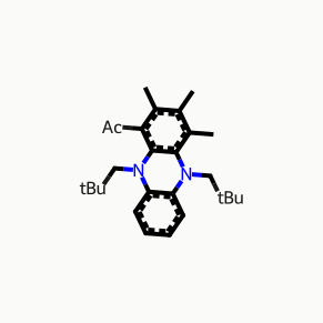 CC(=O)c1c(C)c(C)c(C)c2c1N(CC(C)(C)C)c1ccccc1N2CC(C)(C)C